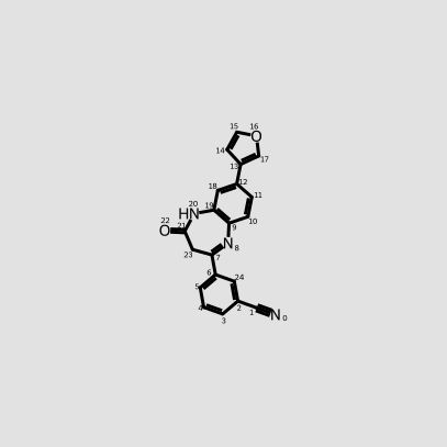 N#Cc1cccc(C2=Nc3ccc(-c4ccoc4)cc3NC(=O)C2)c1